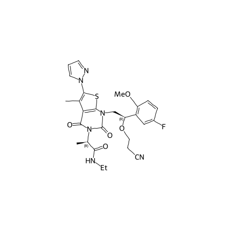 CCNC(=O)[C@@H](C)n1c(=O)c2c(C)c(-n3cccn3)sc2n(C[C@H](OCCC#N)c2cc(F)ccc2OC)c1=O